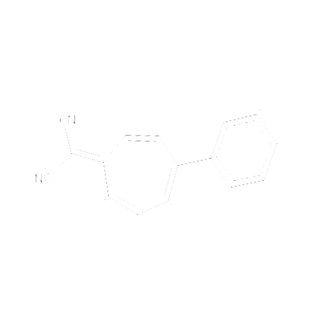 N#CC(C#N)=C1C=CC=C(c2ccccc2)C=C1